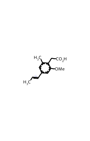 C/C=C/c1cc(C)c(CC(=O)O)c(OC)c1